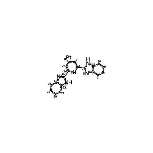 [Pt].c1cc(-c2nc3ccccc3[nH]2)nc(-c2nc3ccccc3[nH]2)c1